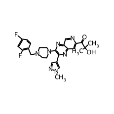 Cn1cc(-c2nc3cc(C(=O)C(C)(C)O)ncc3nc2N2CCN(Cc3ccc(F)cc3F)CC2)cn1